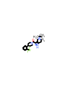 CC(C)(C)N1CCc2[nH]nc(C(=O)N3CCC(c4ccccc4C(F)(F)F)CC3)c2C1